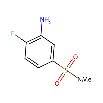 CNS(=O)(=O)c1ccc(F)c(N)c1